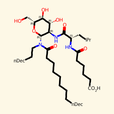 CCCCCCCCCCCCCCCCCC(=O)N(CCCCCCCCCCCC)[C@@H]1O[C@H](CO)[C@@H](O)[C@H](O)[C@H]1NC(=O)[C@H](CC(C)C)NC(=O)CCCCC(=O)O